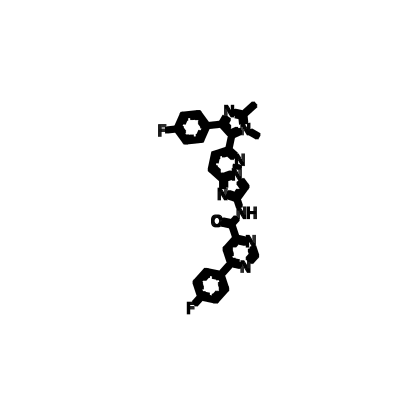 Cc1nc(-c2ccc(F)cc2)c(-c2ccc3nc(NC(=O)c4cc(-c5ccc(F)cc5)ncn4)cn3n2)n1C